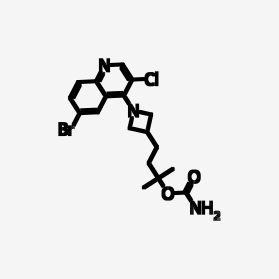 CC(C)(CCC1CN(c2c(Cl)cnc3ccc(Br)cc23)C1)OC(N)=O